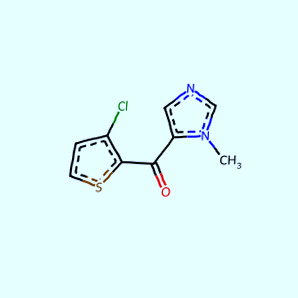 Cn1cncc1C(=O)c1sccc1Cl